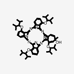 CC(C)C(OC1=CC(C)(O)C=Cc2c1c1nc3nc(nc4[nH]c(nc5nc(nc2[nH]1)-c1c(OC(C(C)C)C(C)C)cccc1-5)c1c(OC(C(C)C)C(C)C)cccc41)-c1c(OC(C(C)C)C(C)C)cccc1-3)C(C)C